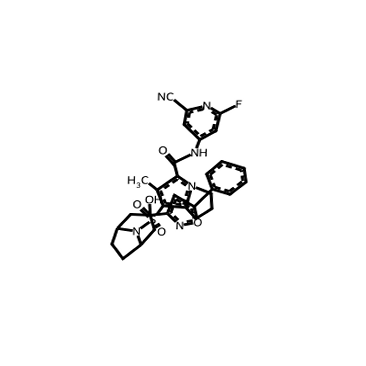 Cc1c(S(=O)(=O)N2C3CCC2CC(O)(c2cc(-c4ccccc4)on2)C3)c2n(c1C(=O)Nc1cc(F)nc(C#N)c1)CCC2